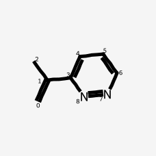 C=C(C)c1cccnn1